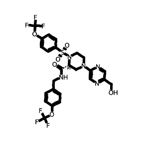 O=C(NCc1ccc(OC(F)(F)F)cc1)[C@H]1CN(c2cnc(CO)cn2)CCN1S(=O)(=O)c1ccc(OC(F)(F)F)cc1